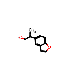 CC(C[O])c1ccc2occc2c1